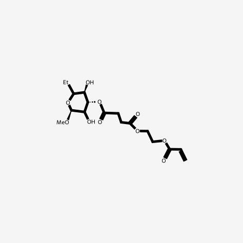 C=CC(=O)OCCOC(=O)CCC(=O)O[C@@H]1C(O)[C@@H](OC)OC(CC)[C@H]1O